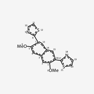 COc1cc2cc(OC)c(-c3nccs3)cc2cc1-c1nccs1